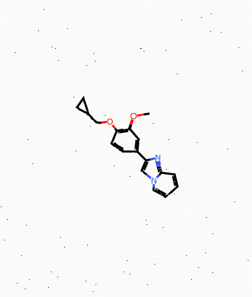 COc1cc(-c2cn3ccccc3n2)ccc1OCC1CC1